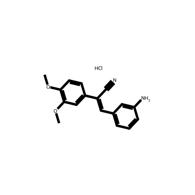 COc1ccc(C(C#N)=Cc2cccc(N)c2)cc1OC.Cl